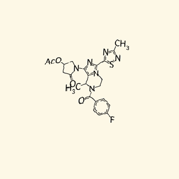 CC(=O)OC1CC(=O)N(c2nc(-c3nc(C)ns3)n3c2C(C)N(C(=O)c2ccc(F)cc2)CC3)C1